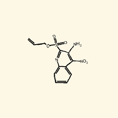 C=CCOS(=O)(=O)c1nc2ccccc2c([N+](=O)[O-])c1N